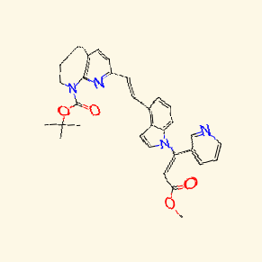 COC(=O)C=C(c1cccnc1)n1ccc2c(C=Cc3ccc4c(n3)N(C(=O)OC(C)(C)C)CCC4)cccc21